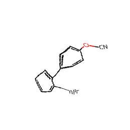 CCCc1ccccc1-c1ccc(OC#N)cc1